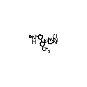 FC(F)(F)c1ccc(-c2cccc(CNC3CC3)c2)c(Oc2ccc3nnc(Cl)n3n2)c1